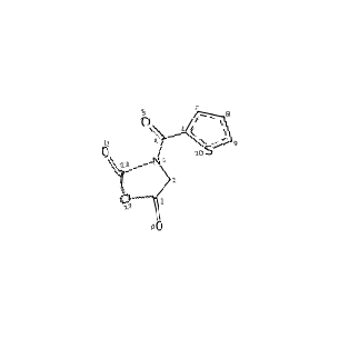 O=C1CN(C(=O)c2cccs2)C(=O)O1